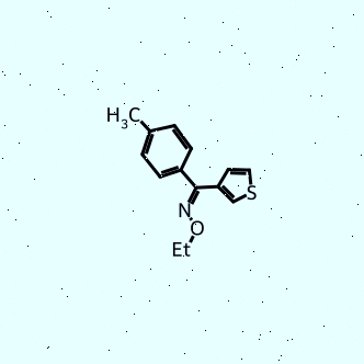 CCO/N=C(/c1ccc(C)cc1)c1ccsc1